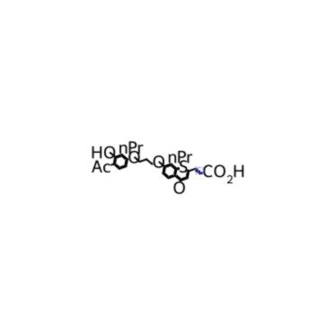 CCCc1c(OCCCOc2ccc3c(=O)cc(/C=C/C(=O)O)sc3c2CCC)ccc(C(C)=O)c1O